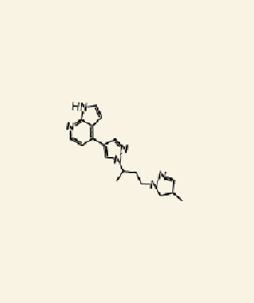 CC1C=NN(CCC(C)n2cc(-c3ccnc4[nH]ccc34)cn2)C1